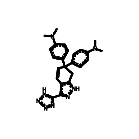 CN(C)c1ccc(C2(c3ccc(N(C)C)cc3)C=Cc3c(-c4nnn[nH]4)n[nH]c3C2)cc1